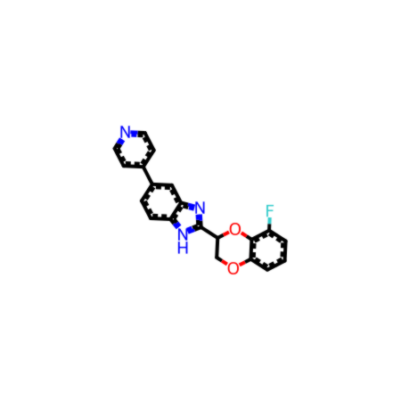 Fc1cccc2c1OC(c1nc3cc(-c4ccncc4)ccc3[nH]1)CO2